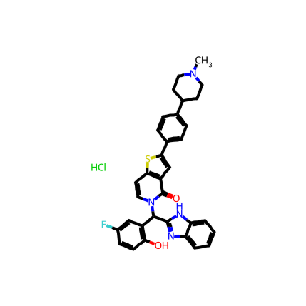 CN1CCC(c2ccc(-c3cc4c(=O)n(C(c5nc6ccccc6[nH]5)c5cc(F)ccc5O)ccc4s3)cc2)CC1.Cl